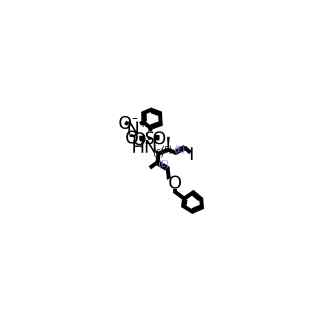 C/C(=C\COCc1ccccc1)[C@@H](NS(=O)(=O)c1ccccc1[N+](=O)[O-])[C@@H](C)/C=C/I